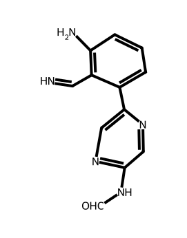 N=Cc1c(N)cccc1-c1cnc(NC=O)cn1